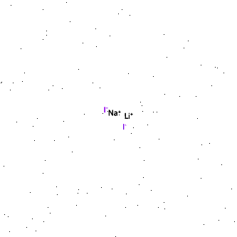 [I-].[I-].[Li+].[Na+]